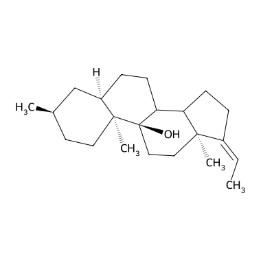 C/C=C1/CCC2C3CC[C@@H]4C[C@H](C)CC[C@]4(C)[C@@]3(O)CC[C@]12C